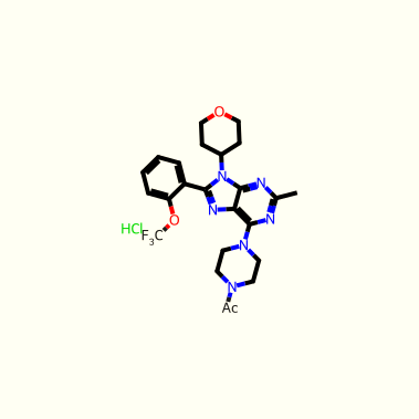 CC(=O)N1CCN(c2nc(C)nc3c2nc(-c2ccccc2OC(F)(F)F)n3C2CCOCC2)CC1.Cl